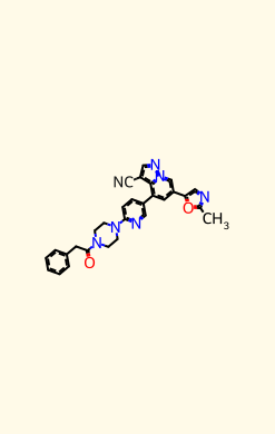 Cc1ncc(-c2cc(-c3ccc(N4CCN(C(=O)Cc5ccccc5)CC4)nc3)c3c(C#N)cnn3c2)o1